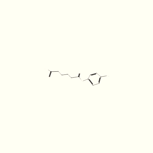 O=C(O)CCCCC(=O)Nc1ccc(Br)cc1